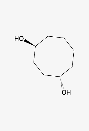 O[C@H]1CCCC[C@H](O)CC1